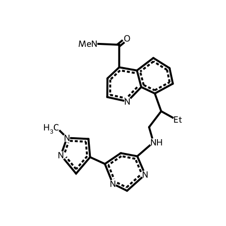 CCC(CNc1cc(-c2cnn(C)c2)ncn1)c1cccc2c(C(=O)NC)ccnc12